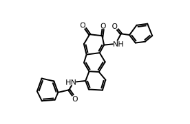 O=C1C=c2cc3c(NC(=O)c4ccccc4)cccc3cc2=C(NC(=O)c2ccccc2)C1=O